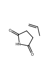 C=CC.O=C1CCC(=O)N1